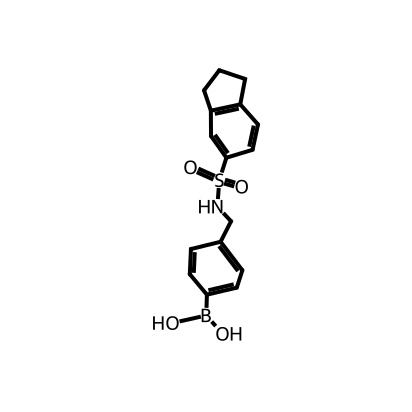 O=S(=O)(NCc1ccc(B(O)O)cc1)c1ccc2c(c1)CCC2